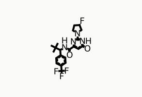 CC(C)(C)C(NC(=O)c1cc(=O)[nH]c(N2CC[C@H](F)C2)n1)c1ccc(C(F)(F)F)cc1